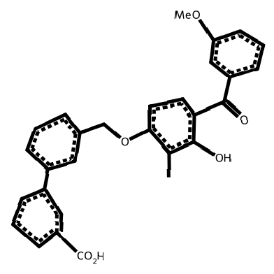 COc1cccc(C(=O)c2ccc(OCc3cccc(-c4cccc(C(=O)O)c4)c3)c(C)c2O)c1